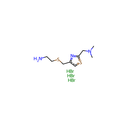 Br.Br.Br.CN(C)Cc1nc(CSCCN)cs1